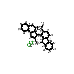 CC1=Cc2c(ccc3ccccc23)C1c1c([SiH](C)C)ccc2c1[CH]([Zr+2])c1ccccc1-2.[Cl-].[Cl-]